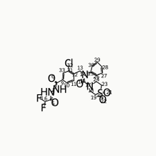 O=C(NNC(=O)C(F)F)c1ccc(CN(C(=O)N2CCS(=O)(=O)CC2)c2ccccc2)c(Cl)c1